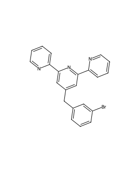 Brc1cccc(Cc2cc(-c3ccccn3)nc(-c3ccccn3)c2)c1